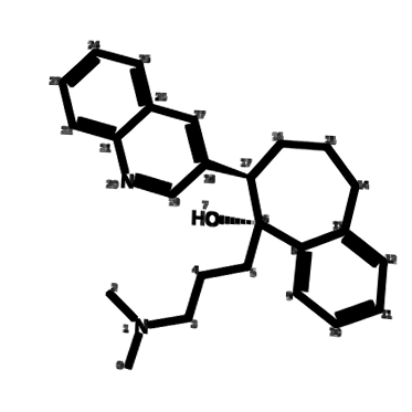 CN(C)CCC[C@]1(O)c2ccccc2CCC[C@@H]1c1cnc2ccccc2c1